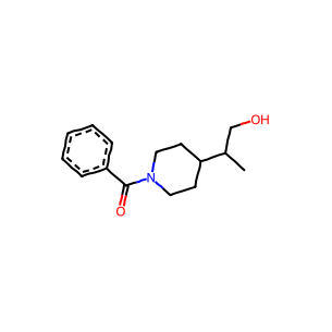 CC(CO)C1CCN(C(=O)c2ccccc2)CC1